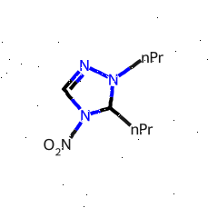 CCCC1N(CCC)N=CN1[N+](=O)[O-]